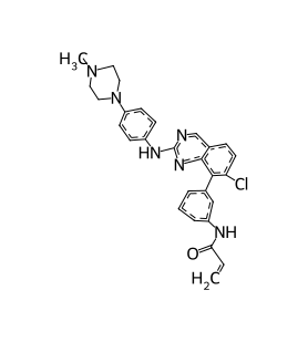 C=CC(=O)Nc1cccc(-c2c(Cl)ccc3cnc(Nc4ccc(N5CCN(C)CC5)cc4)nc23)c1